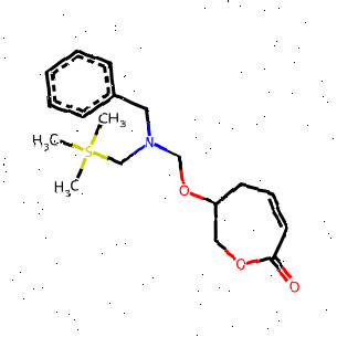 CS(C)(C)CN(COC1CC=CC(=O)OC1)Cc1ccccc1